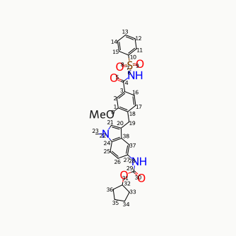 COc1cc(C(=O)NS(=O)(=O)c2ccccc2)ccc1Cc1cn(C)c2ccc(NC(=O)OC3CCCC3)cc12